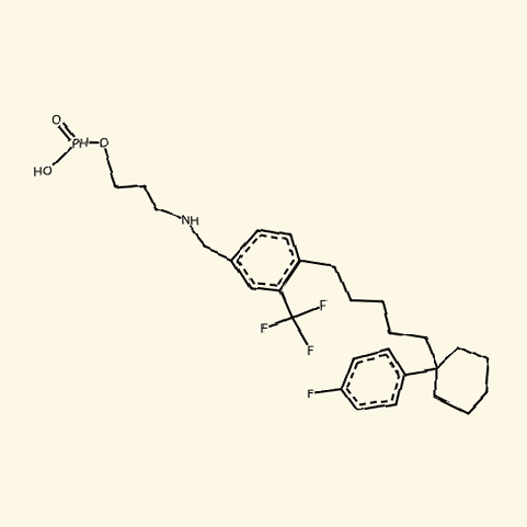 O=[PH](O)OCCCNCc1ccc(CCCCCC2(c3ccc(F)cc3)CCCCC2)c(C(F)(F)F)c1